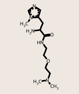 CN(C)CCOCCNC(=O)C(N)Cc1cncn1C